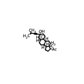 C=C(C)C#C[C@@]1(O)CC[C@@]2(C)[C@H](CC[C@@H]3[C@@H]2CC[C@]2(C)[C@@H](C(C)=O)CC[C@@H]32)C1